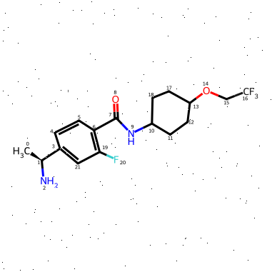 C[C@H](N)c1ccc(C(=O)NC2CCC(OCC(F)(F)F)CC2)c(F)c1